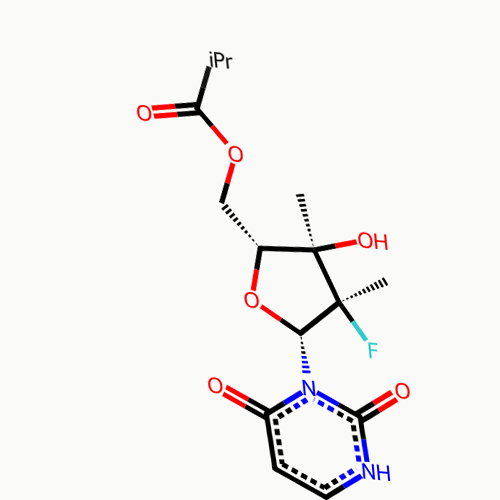 CC(C)C(=O)OC[C@H]1O[C@@H](n2c(=O)cc[nH]c2=O)[C@](C)(F)[C@]1(C)O